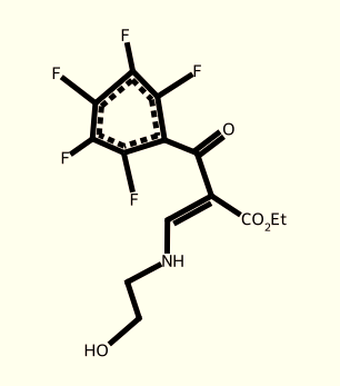 CCOC(=O)C(=CNCCO)C(=O)c1c(F)c(F)c(F)c(F)c1F